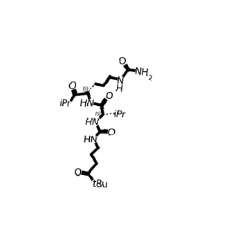 CC(C)C(=O)[C@H](CCCNC(N)=O)NC(=O)[C@@H](NC(=O)NCCCC(=O)C(C)(C)C)C(C)C